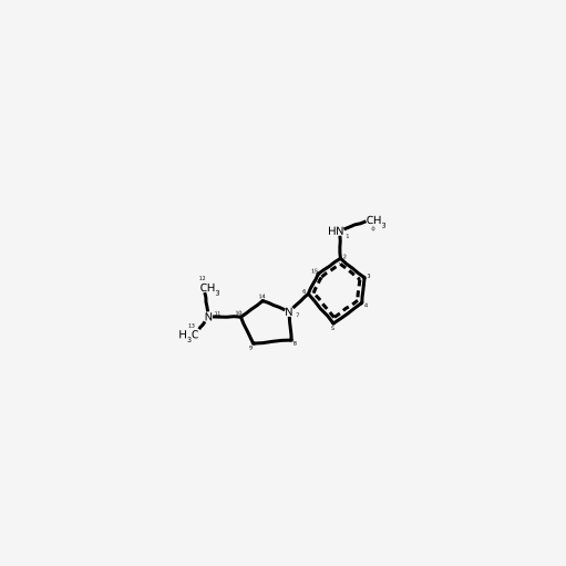 CNc1cccc(N2CCC(N(C)C)C2)c1